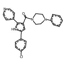 O=C(c1cc(-c2ccc(Cl)cc2)[nH]c1-c1ccncc1)N1CCN(c2ccccc2)CC1